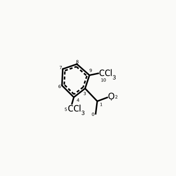 CC([O])c1c(C(Cl)(Cl)Cl)cccc1C(Cl)(Cl)Cl